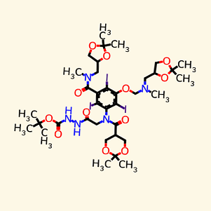 CN(COc1c(I)c(C(=O)N(C)CC2COC(C)(C)O2)c(I)c(N(CC(=O)NNC(=O)OC(C)(C)C)C(=O)C2COC(C)(C)OC2)c1I)CC1COC(C)(C)O1